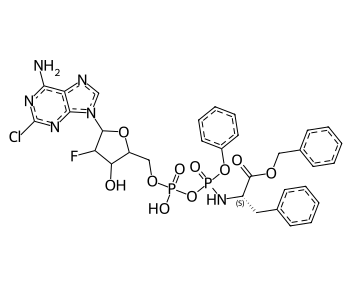 Nc1nc(Cl)nc2c1ncn2C1OC(COP(=O)(O)OP(=O)(N[C@@H](Cc2ccccc2)C(=O)OCc2ccccc2)Oc2ccccc2)C(O)C1F